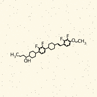 CCCC(O)C1CCC(c2ccc(C3CCC(/C=C/c4ccc(OCC)c(F)c4F)CC3)c(F)c2F)CC1